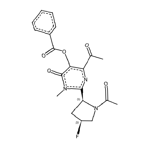 CC(=O)c1nc([C@@H]2C[C@H](F)CN2C(C)=O)n(C)c(=O)c1OC(=O)c1ccccc1